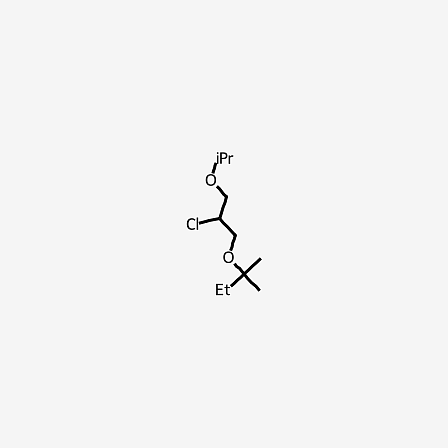 CCC(C)(C)OCC(Cl)COC(C)C